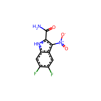 NC(=O)c1[nH]c2cc(F)c(F)cc2c1[N+](=O)[O-]